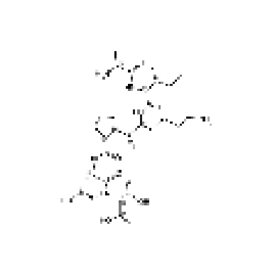 CC[C@H](C)[C@H](NC(=O)[C@H](C)N)C(=O)N[C@@H](CCCCN)C(=O)N1CCC[C@H]1C(=O)N[C@@H](CC(=O)O)C(=O)N[C@H](C(=O)O)[C@@H](C)O